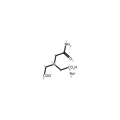 NC(=O)CN(CC(=O)[O-])CC(=O)O.[Na+]